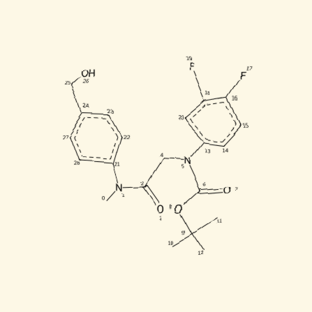 CN(C(=O)CN(C(=O)OC(C)(C)C)c1ccc(F)c(F)c1)c1ccc(CO)cc1